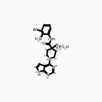 Nc1c(Br)cccc1NC(=O)C1(NC(=O)O)CCN(c2ncnc3[nH]ccc23)CC1